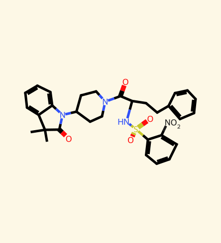 CC1(C)C(=O)N(C2CCN(C(=O)C(CCc3ccccc3)NS(=O)(=O)c3ccccc3[N+](=O)[O-])CC2)c2ccccc21